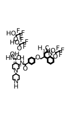 Cc1cc(COc2ccc(C(=O)N[C@@H]3CN(C4CCNCC4)CC[C@@H]3C(=O)NO)cc2)c2ccccc2n1.O=C(O)C(F)(F)F.O=C(O)C(F)(F)F.O=C(O)C(F)(F)F